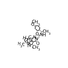 COc1ccc(C(C)NC(=O)Cn2nc(C)c3c(c(C)nn3C(C)C)c2=O)cc1